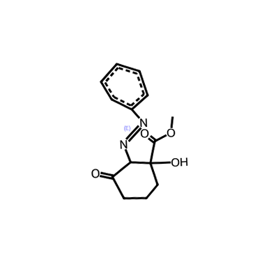 COC(=O)C1(O)CCCC(=O)C1/N=N/c1ccccc1